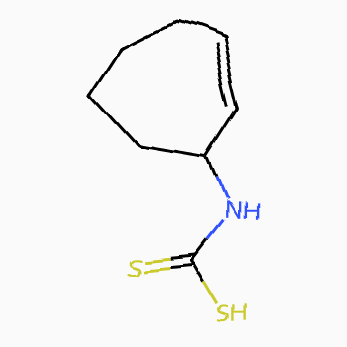 S=C(S)NC1C=CCCCC1